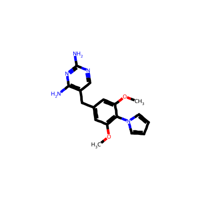 COc1cc(Cc2cnc(N)nc2N)cc(OC)c1-n1cccc1